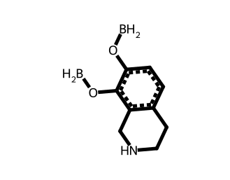 BOc1ccc2c(c1OB)CNCC2